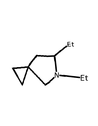 CCC1CC2(CC2)CN1CC